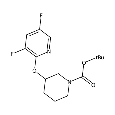 CC(C)(C)OC(=O)N1CCCC(Oc2ncc(F)cc2F)C1